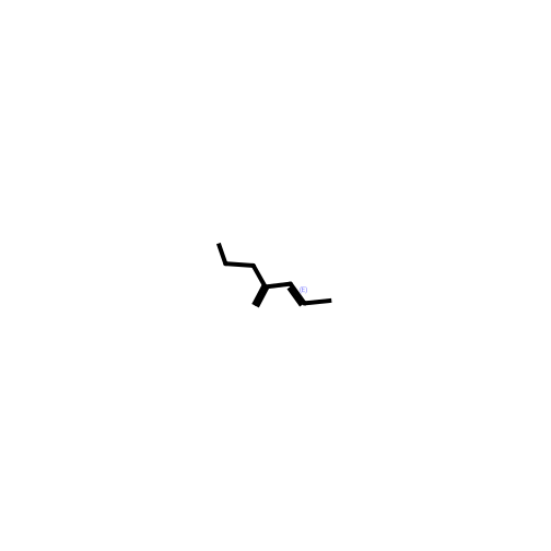 C=C(/C=C/C)CCC